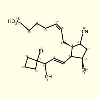 CCC1(C(O)/C=C/C2[C@@H](C/C=C\CCCC(=O)O)C(C#N)C[C@H]2O)CCC1